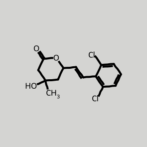 CC1(O)CC(=O)OC(C=Cc2c(Cl)cccc2Cl)C1